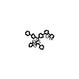 c1ccc(-c2ccc(N(c3ccc(-c4cccc5c4oc4ncccc45)cc3)c3sc(-c4ccccc4)c4c3Oc3ccccc3O4)cc2)cc1